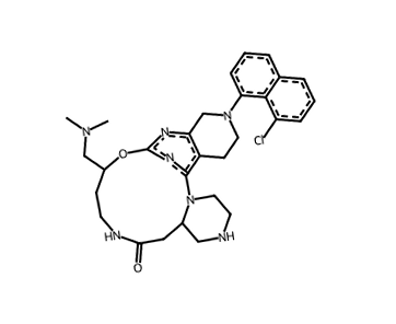 CN(C)CC1CCNC(=O)CC2CNCCN2c2nc(nc3c2CCN(c2cccc4cccc(Cl)c24)C3)O1